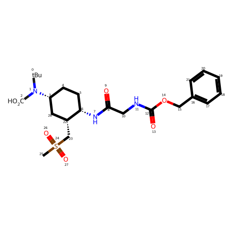 CC(C)(C)N(C(=O)O)[C@@H]1CC[C@H](NC(=O)CNC(=O)OCc2ccccc2)[C@H](CS(C)(=O)=O)C1